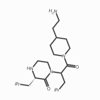 CC(C)CC(C(=O)N1CCC(CCN)CC1)N1CCN[C@@H](CC(C)C)C1=O